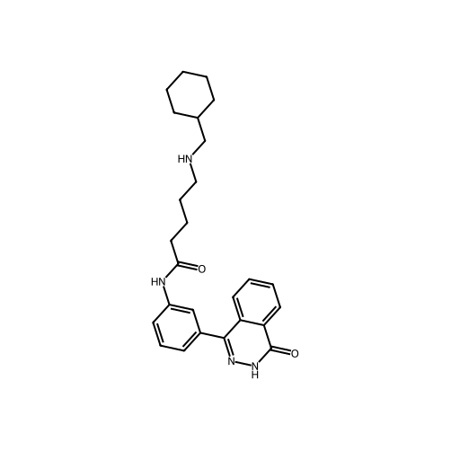 O=C(CCCCNCC1CCCCC1)Nc1cccc(-c2n[nH]c(=O)c3ccccc23)c1